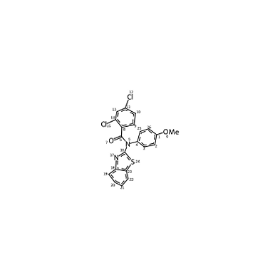 COc1ccc(N(C(=O)c2ccc(Cl)cc2Cl)c2nc3ccccc3s2)cc1